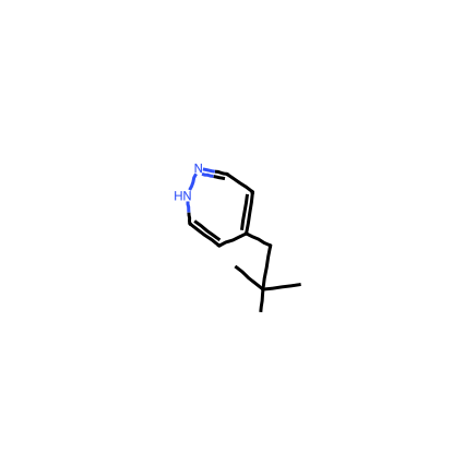 CC(C)(C)CC1=CC=NNC=C1